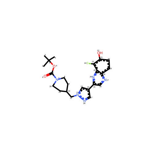 CC(C)(C)OC(=O)N1CCC(Cn2cc(-c3cnc4ccc(O)c(F)c4n3)cn2)CC1